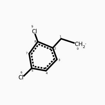 [CH2]Cc1ccc(Cl)cc1Cl